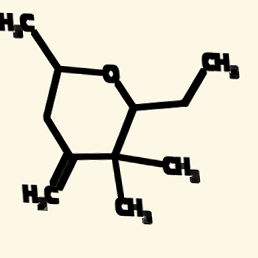 C=C1CC(C)OC(CC)C1(C)C